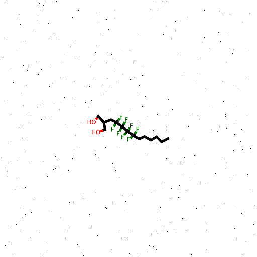 CCCCCCC(F)(F)C(F)(F)C(F)(F)C(F)(F)CC(CO)CO